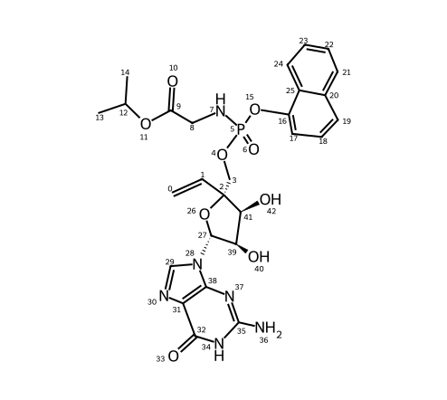 C=C[C@]1(COP(=O)(NCC(=O)OC(C)C)Oc2cccc3ccccc23)O[C@@H](n2cnc3c(=O)[nH]c(N)nc32)[C@H](O)[C@@H]1O